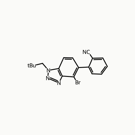 CC(C)(C)Cn1nnc2c(Br)c(-c3ccccc3C#N)ccc21